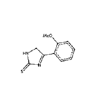 COc1ccccc1C1=NC(=S)NC1